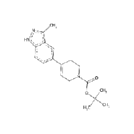 Cc1n[nH]c2ccc(C3=CCN(C(=O)OC(C)(C)C)CC3)cc12